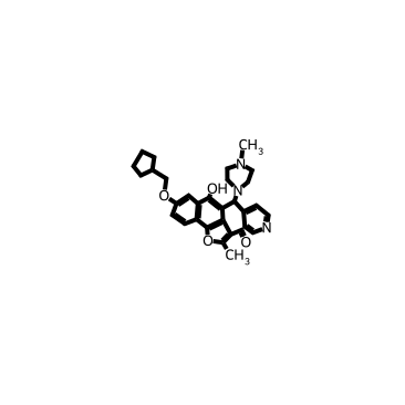 Cc1oc2c(c1C=O)c(C(c1ccncc1)N1CCN(C)CC1)c(O)c1cc(OCC3CCCC3)ccc12